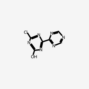 Oc1nc(Cl)nc(-c2n[c]ncn2)n1